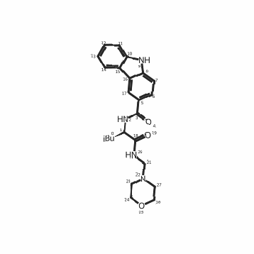 CC[C@H](C)C(NC(=O)c1ccc2[nH]c3ccccc3c2c1)C(=O)NCN1CCOCC1